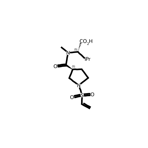 C=CS(=O)(=O)N1CC[C@H](C(=O)N(C)[C@H](C(=O)O)C(C)C)C1